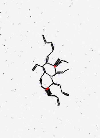 C=C\C=C/C=C(C=C)/C(C=C)=C(/C=C\C=C)N(C(/C=C\C)=C/C)C(/C=C\C=C)=C/C=C